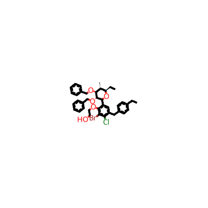 CCc1ccc(Cc2cc(C3O[C@H](CC)[C@@H](C)[C@H](OCc4ccccc4)[C@H]3OCc3ccccc3)c(OCCO)c(Br)c2Cl)cc1